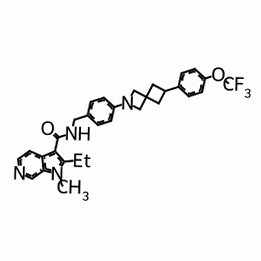 CCc1c(C(=O)NCc2ccc(N3CC4(CC(c5ccc(OC(F)(F)F)cc5)C4)C3)cc2)c2ccncc2n1C